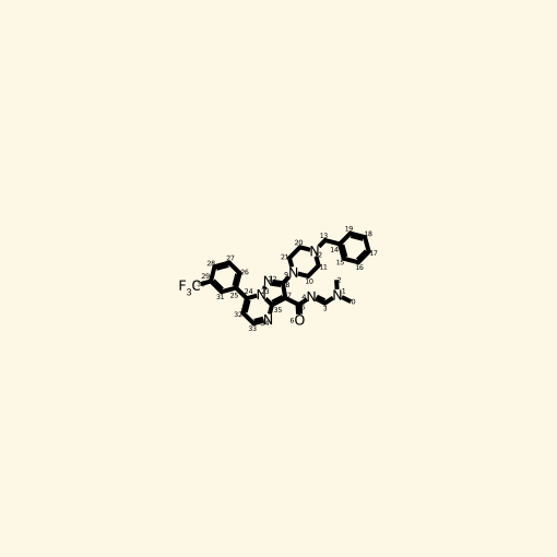 CN(C)C=NC(=O)c1c(N2CCN(Cc3ccccc3)CC2)nn2c(-c3cccc(C(F)(F)F)c3)ccnc12